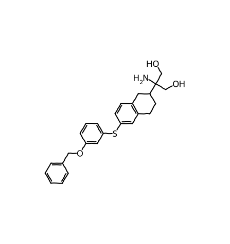 NC(CO)(CO)C1CCc2cc(Sc3cccc(OCc4ccccc4)c3)ccc2C1